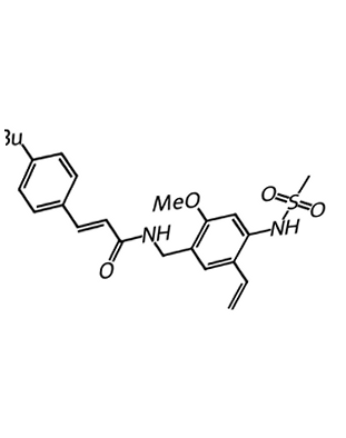 C=Cc1cc(CNC(=O)C=Cc2ccc(C(C)(C)C)cc2)c(OC)cc1NS(C)(=O)=O